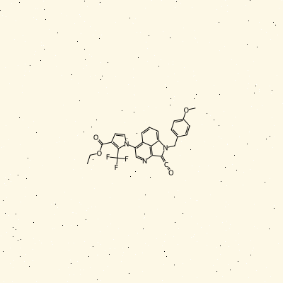 CCOC(=O)c1ccn(-c2cnc3c(=C=O)n(Cc4ccc(OC)cc4)c4cccc2c34)c1C(F)(F)F